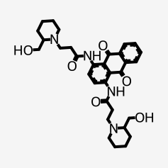 O=C(CCN1CCCCC1CO)Nc1ccc(NC(=O)CCN2CCCCC2CO)c2c1C(=O)c1ccccc1C2=O